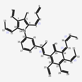 C=C/C=C\c1c(C)c(C=C)c(/C=C\C)n1-c1cccc(/C(C)=C/c2c(C=C)c(C=C)c(/C=C\C)/c(=C/C=C\C)c2=C)c1